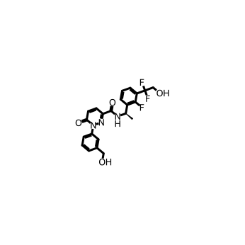 C[C@@H](NC(=O)c1ccc(=O)n(-c2cccc(CO)c2)n1)c1cccc(C(F)(F)CO)c1F